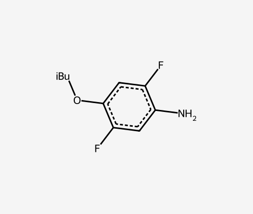 CCC(C)Oc1cc(F)c(N)cc1F